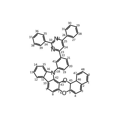 C1=CC2=CC=C3Oc4ccc5c6ccccc6n(-c6cccc(-c7cc(-c8ccccc8)nc(-c8ccccc8)n7)c6)c5c4OC3C2C=C1